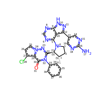 C[C@H]1CCN(c2ncnc3[nH]nc(-c4cnc(N)nc4)c23)[C@@H]1c1nn2ccc(Cl)c2c(=O)n1-c1ccccc1